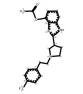 NC(=O)Oc1cccc2[nH]c(C3CCN(CCc4ccc(C(F)(F)F)cc4)C3)nc12